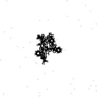 C=C[C@@H]1C[C@]1(NC(=O)[C@@H]1C[C@@H](Oc2nc(-c3ccc(C(F)(F)F)cc3)nc3c2oc2ccccc23)CN1C(=O)[C@@H](Nc1nc(C(C)C)cs1)C1CCCCC1)C(=O)NS(=O)(=O)C1CC1